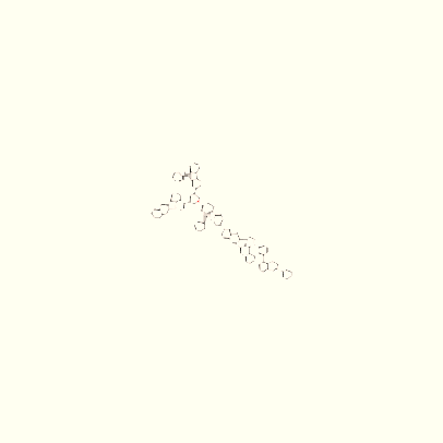 c1ccc(-c2ccc3c(-c4cccc(-c5ccc6c7c(cc8ccccc8c57)-c5cc7ccc(-c8ccc9c%10ccc(-c%11cc(-c%12ccc%13c%14ccccc%14n(-c%14ccccc%14)c%13c%12)cc(-c%12ccc%13c%14c(cccc%12%14)-c%12cc%14ccccc%14cc%12-%13)c%11)cc%10n(-c%10ccccc%10)c9c8)cc7cc5-6)c4)cccc3c2)cc1